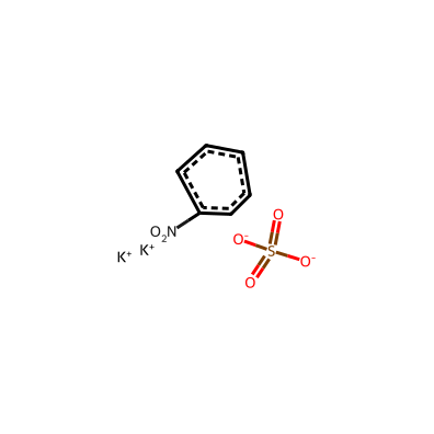 O=S(=O)([O-])[O-].O=[N+]([O-])c1ccccc1.[K+].[K+]